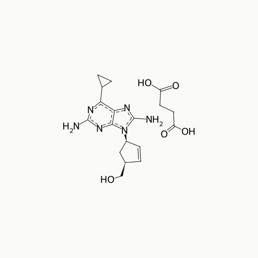 Nc1nc(C2CC2)c2nc(N)n([C@H]3C=C[C@@H](CO)C3)c2n1.O=C(O)CCC(=O)O